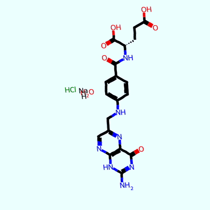 Cl.Nc1nc(=O)c2nc(CNc3ccc(C(=O)N[C@@H](CCC(=O)O)C(=O)O)cc3)cnc2[nH]1.O.[NaH]